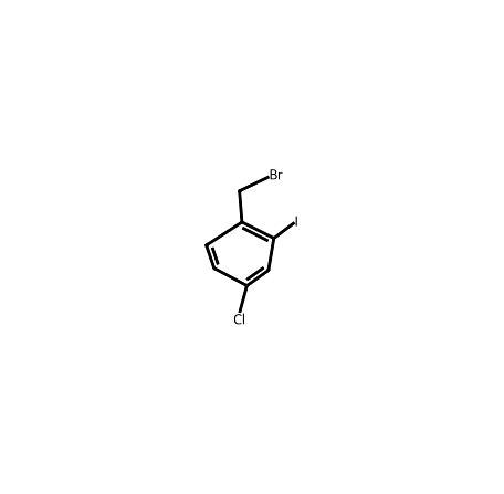 Clc1ccc(CBr)c(I)c1